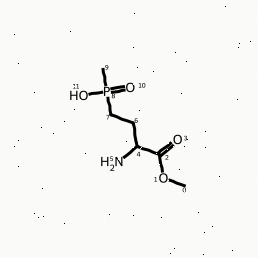 COC(=O)C(N)CCP(C)(=O)O